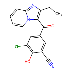 CCc1nc2ccccn2c1C(=O)c1cc(Cl)c(O)c(C#N)c1